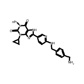 CCCn1c(=O)c2[nH]c(-c3ccc(NCc4ccc(CN)cc4)nc3)nc2n(C2CC2)c1=O